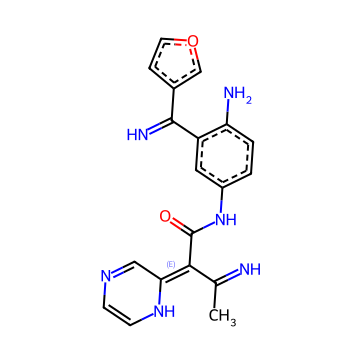 CC(=N)/C(C(=O)Nc1ccc(N)c(C(=N)c2ccoc2)c1)=C1/C=NC=CN1